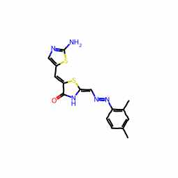 Cc1ccc(N=NC=c2[nH]c(=O)c(=Cc3cnc(N)s3)s2)c(C)c1